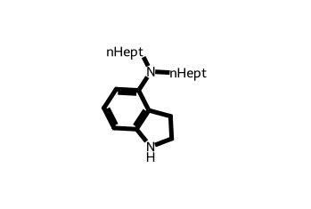 CCCCCCCN(CCCCCCC)c1cccc2c1CCN2